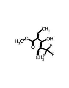 C=C/C(=C(O)\C(=C/C)C(=O)OC)C(F)(F)F